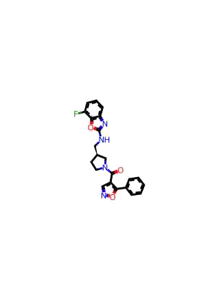 O=C(c1cnoc1-c1ccccc1)N1CC[C@@H](CNc2nc3cccc(F)c3o2)C1